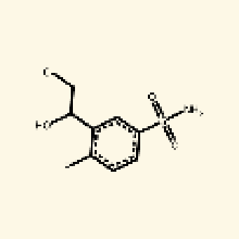 NS(=O)(=O)c1ccc(F)c(C(O)CCl)c1